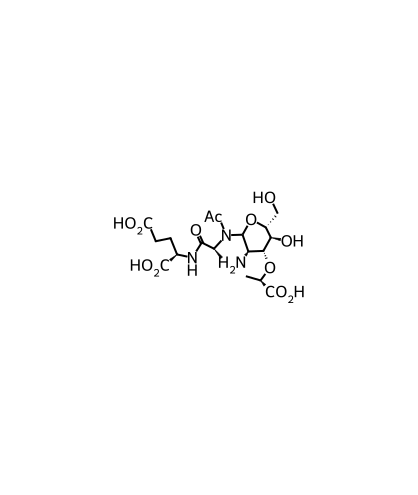 CC(=O)N(C1O[C@H](CO)[C@@H](O)[C@H](O[C@H](C)C(=O)O)[C@H]1N)[C@@H](C)C(=O)N[C@H](CCC(=O)O)C(=O)O